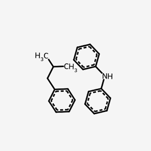 CC(C)Cc1ccccc1.c1ccc(Nc2ccccc2)cc1